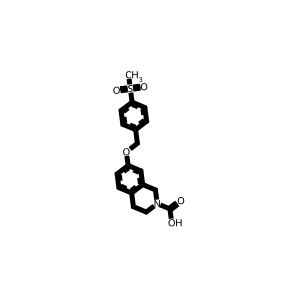 CS(=O)(=O)c1ccc(COc2ccc3c(c2)CN(C(=O)O)CC3)cc1